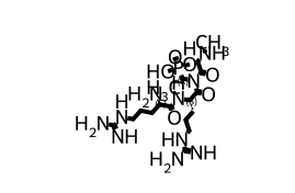 CNCC(=O)N(C(=O)[C@H](CCCNC(=N)N)NC(=O)[C@@H](N)CCCNC(=N)N)[C@@H](C)P(=O)(O)O